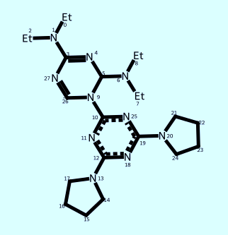 CCN(CC)C1=NC(N(CC)CC)N(c2nc(N3CCCC3)nc(N3CCCC3)n2)[C]=N1